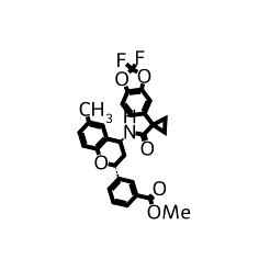 COC(=O)c1cccc([C@H]2C[C@@H](NC(=O)C3(c4ccc5c(c4)OC(F)(F)O5)CC3)c3cc(C)ccc3O2)c1